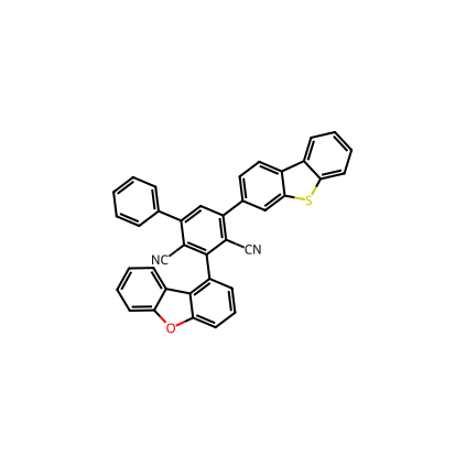 N#Cc1c(-c2ccccc2)cc(-c2ccc3c(c2)sc2ccccc23)c(C#N)c1-c1cccc2oc3ccccc3c12